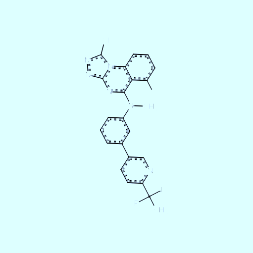 CN(c1cccc(-c2ccc(C(C)(F)F)nc2)c1)c1nc2nnc(Cl)n2c2cccc(F)c12